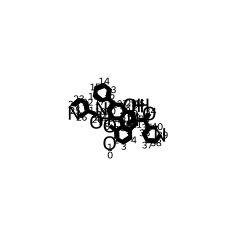 COc1ccc2c3c1O[C@H]1c4c(c5ccccc5n4C(=O)c4cccnc4)C[C@@]4(O)[C@@H](C2)N(C(=O)c2cccnc2)CC[C@]314